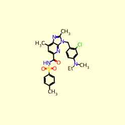 CCN(C)c1ccc(Cn2c(C)nc3c(C)cc(C(=O)NS(=O)(=O)c4ccc(C)cc4)nc32)c(Cl)c1